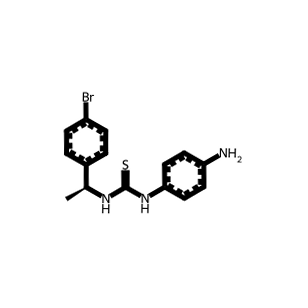 C[C@H](NC(=S)Nc1ccc(N)cc1)c1ccc(Br)cc1